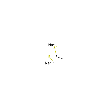 CC[S-].C[S-].[Na+].[Na+]